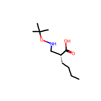 CCCC[C@H](CNOC(C)(C)C)C(=O)O